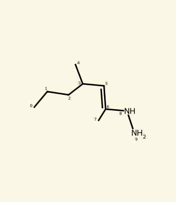 CCCC(C)/C=C(\C)NN